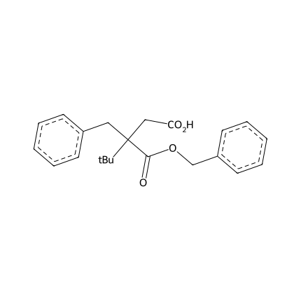 CC(C)(C)C(CC(=O)O)(Cc1ccccc1)C(=O)OCc1ccccc1